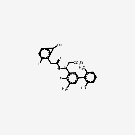 CCOC(=O)C[C@H](NC(=O)Cc1c(F)ccc2c1C2O)c1cc(-c2c(C)cccc2O)cc(C)c1F